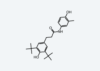 Cc1cc(NC(=O)CCc2cc(C(C)(C)C)c(O)c(C(C)(C)C)c2)ccc1O